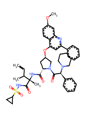 C=CC(C)[C@](C)(NC(=O)[C@@H]1C[C@@H](Oc2cc(-c3ccccc3)nc3cc(OC)ccc23)CN1C(=O)[C@H](c1ccccc1)N1CCCCC1)C(=O)NS(=O)(=O)C1CC1